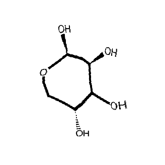 OC1[C@H](O)CO[C@@H](O)[C@H]1O